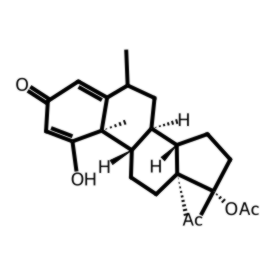 CC(=O)O[C@@]1(C(C)=O)CC[C@H]2[C@@H]3CC(C)C4=CC(=O)C=C(O)[C@]4(C)[C@H]3CC[C@@]21C